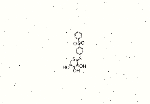 O=S(=O)(c1ccccc1)c1ccc(S[C@@H]2SC[C@@H](O)[C@H](O)[C@H]2O)cc1